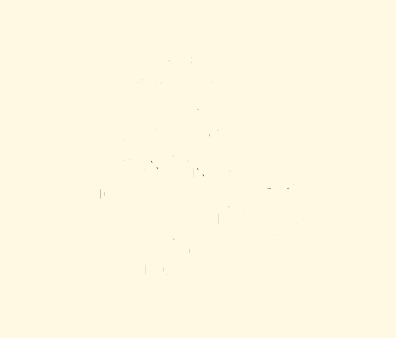 C#CC(=O)N(c1ccc(OC)c(Cl)c1)C(C(=O)NCCc1ccccc1)c1csc2ccccc12